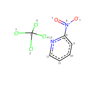 ClC(Cl)(Cl)Cl.O=[N+]([O-])c1ccccn1